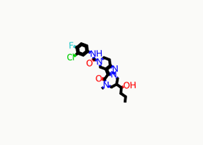 CCCC(O)C1CN(C)C(=O)c2c3c(nn2C1)CCN(C(=O)Nc1ccc(F)c(Cl)c1)C3